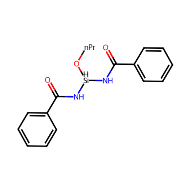 CCCO[SiH](NC(=O)c1ccccc1)NC(=O)c1ccccc1